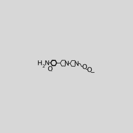 CCOCOCCN1CCC(N2CCC(c3ccc(N)c(OC)c3)CC2)CC1